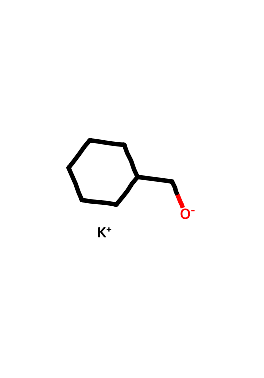 [K+].[O-]CC1CCCCC1